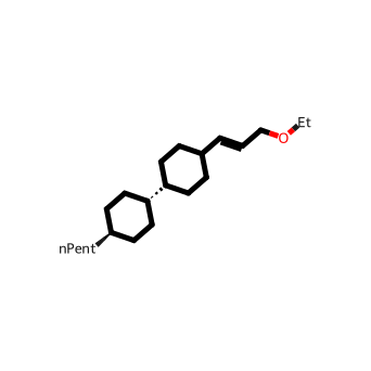 CCCCC[C@H]1CC[C@H](C2CCC(/C=C/COCC)CC2)CC1